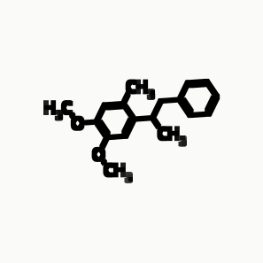 COc1cc(C)c(C(C)Cc2ccccc2)cc1OC